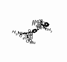 COC(=O)[C@@H](N(C)C(=O)OCc1ccc(NC(=O)[C@H](CCCCNC(N)=O)NC(=O)C(NC(=O)OC(C)(C)C)C(C)C)cc1)C(C)(C)c1cn(C)c2ccccc12